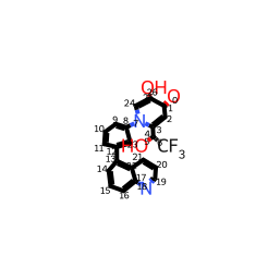 O=c1cc(C(O)C(F)(F)F)n(-c2cccc(-c3cccc4ncccc34)c2)cc1O